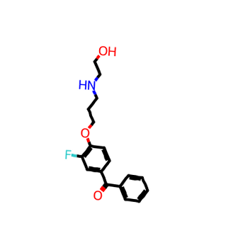 O=C(c1ccccc1)c1ccc(OCCCNCCO)c(F)c1